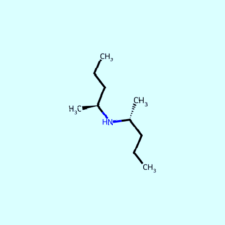 CCC[C@@H](C)N[C@@H](C)CCC